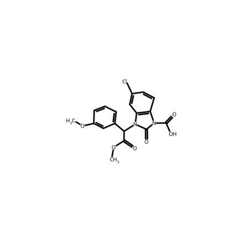 COC(=O)C(c1cccc(OC)c1)n1c(=O)n(C(=O)O)c2ccc(Cl)cc21